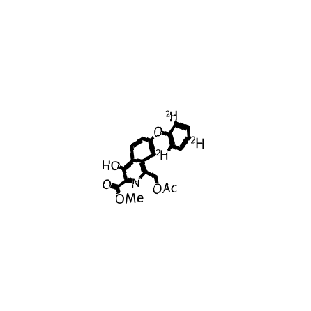 [2H]c1cc([2H])c(Oc2ccc3c(O)c(C(=O)OC)nc(COC(C)=O)c3c2)c([2H])c1